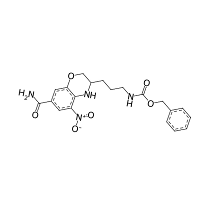 NC(=O)c1cc2c(c([N+](=O)[O-])c1)NC(CCCNC(=O)OCc1ccccc1)CO2